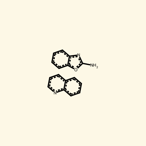 Nc1nc2ccccc2o1.c1ccc2ncccc2c1